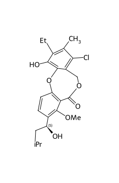 CCc1c(C)c(Cl)c2c(c1O)Oc1ccc([C@@H](O)CC(C)C)c(OC)c1C(=O)OC2